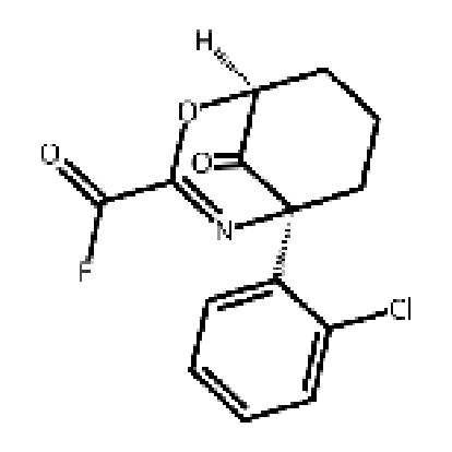 O=C(F)C1=N[C@]2(c3ccccc3Cl)CCC[C@H](O1)C2=O